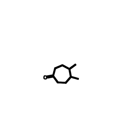 CC1CCC(=O)CCC1C